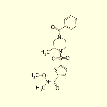 CON(C)C(=O)c1ccc(S(=O)(=O)N2CCN(C(=O)c3ccccc3)CC2C)s1